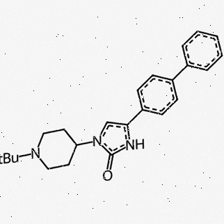 CC(C)(C)N1CCC(n2cc(-c3ccc(-c4ccccc4)cc3)[nH]c2=O)CC1